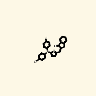 O=C1/C(=C\c2ccc(N(c3ccc(Cl)cc3)c3ccc(Cl)cc3)o2)Cc2ccccc21